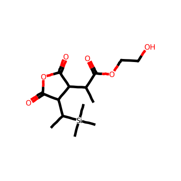 CC(C(=O)OCCO)C1C(=O)OC(=O)C1C(C)[Si](C)(C)C